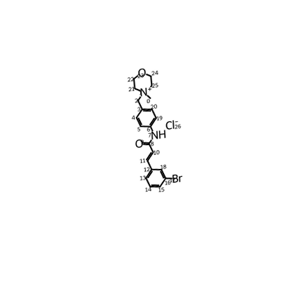 C[N+]1(Cc2ccc(NC(=O)C=Cc3cccc(Br)c3)cc2)CCOCC1.[Cl-]